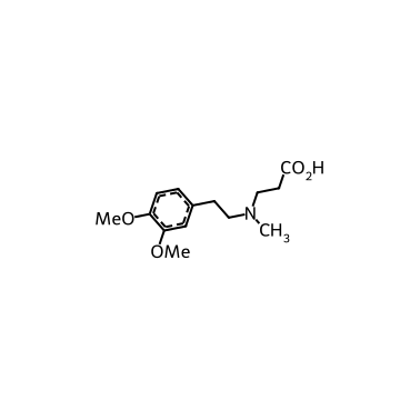 COc1ccc(CCN(C)CCC(=O)O)cc1OC